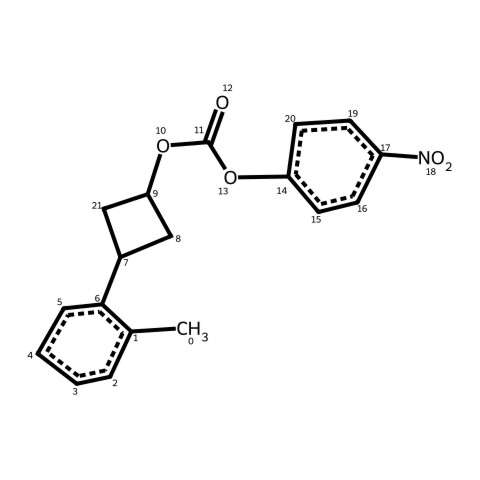 Cc1ccccc1C1CC(OC(=O)Oc2ccc([N+](=O)[O-])cc2)C1